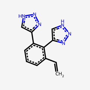 C=Cc1cccc(-c2c[nH]nn2)c1-c1c[nH]nn1